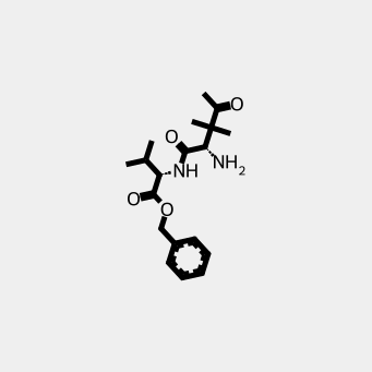 CC(=O)C(C)(C)[C@H](N)C(=O)N[C@H](C(=O)OCc1ccccc1)C(C)C